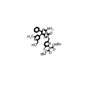 Cc1cc(-c2c(-c3ccccc3)nc(N)n3c(=O)n(Cc4ccc(F)c(N(C(=O)OC(C)(C)C)C(=O)OC(C)(C)C)n4)nc23)cc(CO)n1